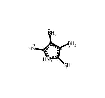 Bc1c(S)[nH]c(S)c1B